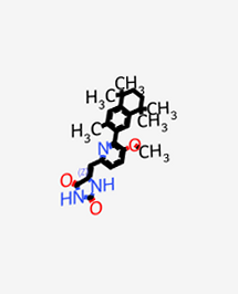 COc1ccc(/C=C2\NC(=O)NC2=O)nc1-c1cc2c(cc1C)C(C)(C)CCC2(C)C